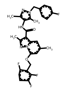 Cc1cc(OCc2c(F)ccc(F)c2F)n2nc(C)c(C(=O)Nc3c(C)nn(Cc4ccc(F)cc4)c3C)c2c1